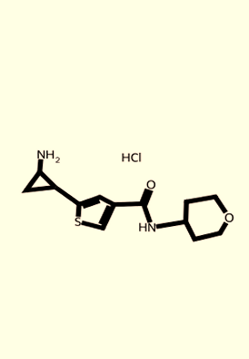 Cl.NC1CC1c1cc(C(=O)NC2CCOCC2)cs1